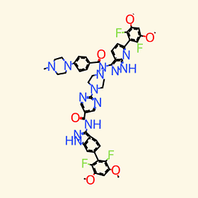 COc1cc(OC)c(F)c(-c2ccc3c(NC(=O)c4cnc(N5CCN(N(C(=O)c6ccc(N7CCN(C)CC7)cc6)c6n[nH]c7nc(-c8c(F)c(OC)cc(OC)c8F)ccc67)CC5)nc4)n[nH]c3c2)c1F